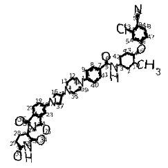 C[C@H]1C[C@@H](NC(=O)c2ccc(N3CCN(C4CN(c5ccc6c(c5)C(=O)N(C5CCC(=O)NC5=O)C6=O)C4)CC3)cc2)CC[C@@H]1Oc1ccc(C#N)c(Cl)c1